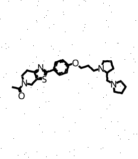 CC(=O)N1CCc2nc(-c3ccc(OCCCN4CCCC4CN4CCCC4)cc3)sc2C1